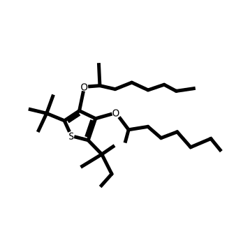 CCCCCCC(C)Oc1c(C(C)(C)C)sc(C(C)(C)CC)c1OC(C)CCCCCC